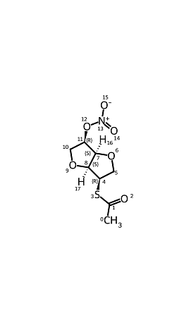 CC(=O)S[C@@H]1CO[C@H]2[C@@H]1OC[C@H]2O[N+](=O)[O-]